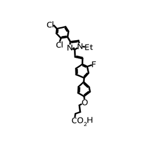 CCn1cc(-c2ccc(Cl)cc2Cl)nc1/C=C/c1ccc(-c2ccc(OCCCC(=O)O)cc2)cc1F